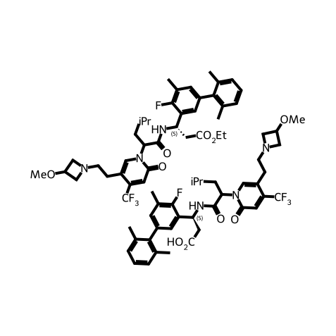 CCOC(=O)C[C@H](NC(=O)C(CC(C)C)n1cc(CCN2CC(OC)C2)c(C(F)(F)F)cc1=O)c1cc(-c2c(C)cccc2C)cc(C)c1F.COC1CN(CCc2cn(C(CC(C)C)C(=O)N[C@@H](CC(=O)O)c3cc(-c4c(C)cccc4C)cc(C)c3F)c(=O)cc2C(F)(F)F)C1